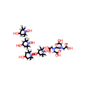 CC1(C)CC(O)CC(C)(C)N1O.CC1(C)CC(O)CC(C)(C)N1O.CC1(C)CC(O)CC(C)(C)N1O.CC1(C)CC(O)CC(C)(C)N1O.O=C(O)CN(CCN(CC(=O)O)CC(=O)O)CC(=O)O